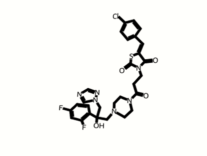 O=C(CCN1C(=O)SC(=Cc2ccc(Cl)cc2)C1=O)N1CCN(CC(O)(Cn2cncn2)c2ccc(F)cc2F)CC1